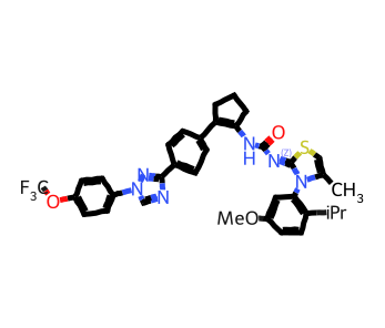 COc1ccc(C(C)C)c(-n2c(C)cs/c2=N\C(=O)NC2=C(c3ccc(-c4ncn(-c5ccc(OC(F)(F)F)cc5)n4)cc3)CCC2)c1